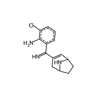 N=C(C1=CC2CCC(C1)N2)c1cccc(Cl)c1N